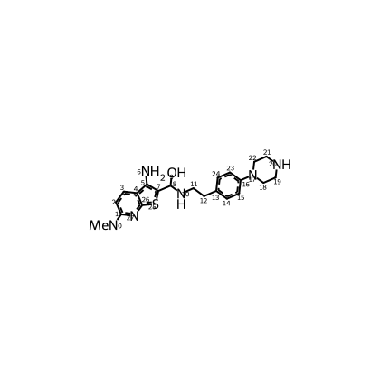 CNc1ccc2c(N)c(C(O)NCCc3ccc(N4CCNCC4)cc3)sc2n1